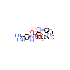 CC(C(=O)O)N1C(=O)CCc2ccc(N3CCO[C@H]([C@@H](O)C(=O)Nc4ccc5c(c4)CNC5=N)C3=O)cc21